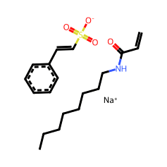 C=CC(=O)NCCCCCCCC.O=S(=O)([O-])C=Cc1ccccc1.[Na+]